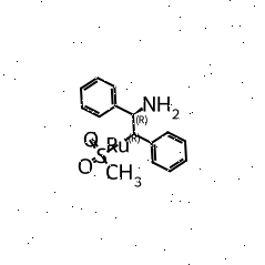 C[S](=O)(=O)[Ru][C@H](c1ccccc1)[C@H](N)c1ccccc1